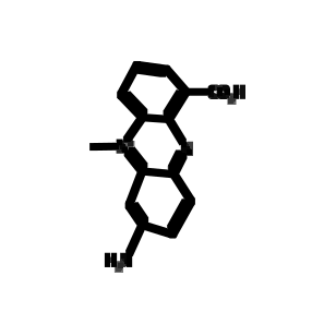 C[n+]1c2cc(N)ccc2nc2c(C(=O)O)cccc21